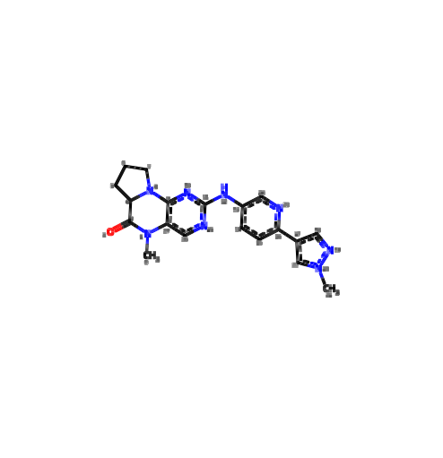 CN1C(=O)C2CCCN2c2nc(Nc3ccc(-c4cnn(C)c4)nc3)ncc21